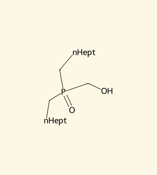 CCCCCCCCP(=O)(CO)CCCCCCCC